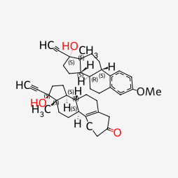 C#C[C@]1(O)CC[C@H]2[C@@H]3CCC4=C(CCC(=O)C4)[C@H]3CC[C@@]21C.C#C[C@]1(O)CC[C@H]2[C@@H]3CCc4cc(OC)ccc4[C@H]3CC[C@@]21C